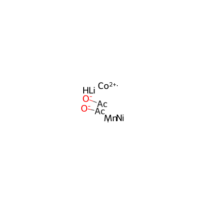 CC(=O)[O-].CC(=O)[O-].[Co+2].[LiH].[Mn].[Ni]